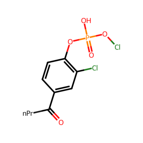 CCCC(=O)c1ccc(OP(=O)(O)OCl)c(Cl)c1